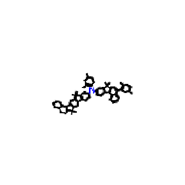 Cc1ccc(N(c2ccc3c(c2)C(C)(C)c2cc4c(cc2-3)C(C)(C)C2=C4c3ccccc3CC2)c2ccc3c(c2)C(C)(C)c2cc(-c4cc(C)ccc4C)c4ccccc4c2-3)c(C)c1